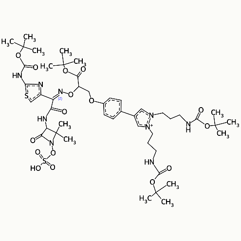 CC(C)(C)OC(=O)NCCCn1cc(-c2ccc(OCC(O/N=C(\C(=O)NC3C(=O)N(OS(=O)(=O)O)C3(C)C)c3csc(NC(=O)OC(C)(C)C)n3)C(=O)OC(C)(C)C)cc2)c[n+]1CCCNC(=O)OC(C)(C)C